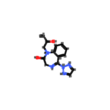 CC(C)(C)C(=O)CN1C(=O)CN=C(n2nccn2)c2ccccc21